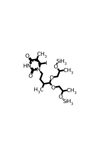 Cc1c(I)n(CCC(C)C(OCC(C)O[SiH3])OCC(C)O[SiH3])c(=O)[nH]c1=O